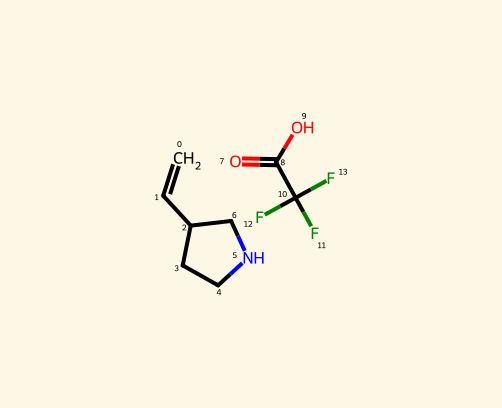 C=CC1CCNC1.O=C(O)C(F)(F)F